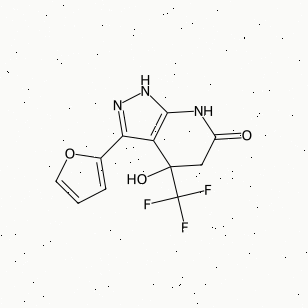 O=C1CC(O)(C(F)(F)F)c2c(-c3ccco3)n[nH]c2N1